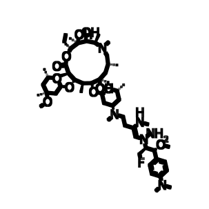 CC[C@H]1OC(=O)[C@H](C)[C@@H](O[C@H]2C[C@@](C)(OC)C[C@H](C)O2)[C@H](C)[C@@H](O[C@H]2C[C@@H](N(C)CC/C(=C/N(N)[C@H](CF)[C@H](OC)c3ccc(N(C)C)cc3)NC)C[C@@H](C)O2)[C@](C)(O)C[C@@H](C)CN(C)[C@H](C)[C@@H](O)[C@]1(C)O